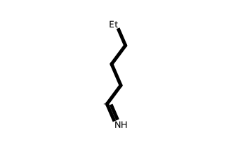 [CH2]CCCC[C]=N